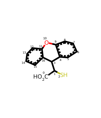 O=C(O)C(S)C1c2ccccc2Oc2ccccc21